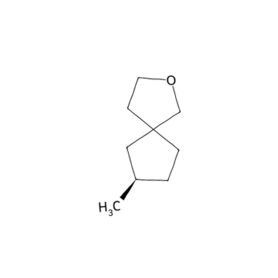 C[C@@H]1CCC2(CCOC2)C1